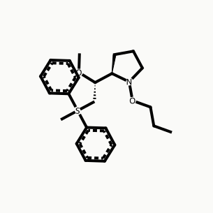 CCCON1CCC[C@@H]1[C@H](CS(C)(c1ccccc1)c1ccccc1)OC